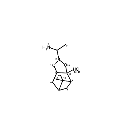 CC(N)B1OC2CC3CC(C3(C)C)C2(C)O1.Cl